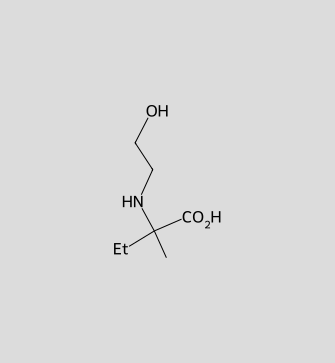 CCC(C)(NCCO)C(=O)O